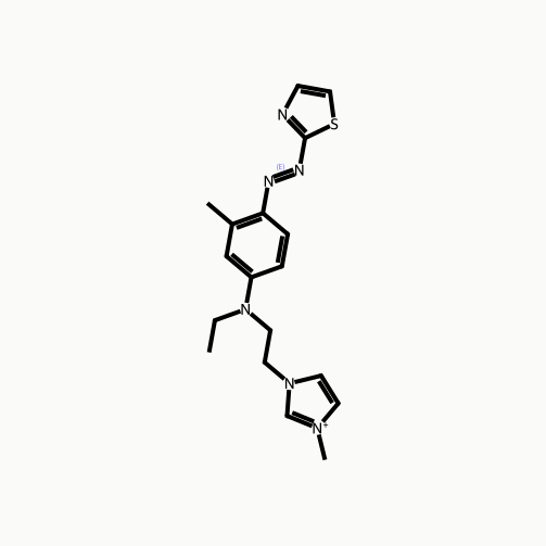 CCN(CCn1cc[n+](C)c1)c1ccc(/N=N/c2nccs2)c(C)c1